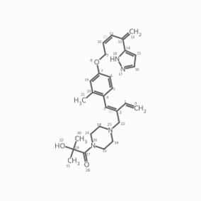 C=C/C(=C\c1ccc(OC/C=C\C(=C)c2ccn[nH]2)cc1C)CN1CCN(C(=O)C(C)(C)O)CC1